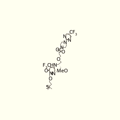 COC[C@@H](COCCS(=O)(=O)N1CCN(c2ncc(C(F)(F)F)cn2)CC1)Nc1cnn(COCC[Si](C)(C)C)c(=O)c1C(F)(F)F